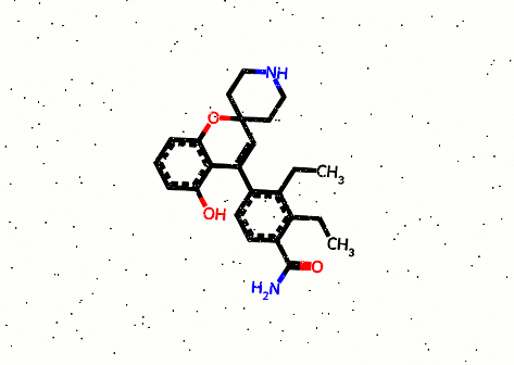 CCc1c(C(N)=O)ccc(C2=CC3(CCNCC3)Oc3cccc(O)c32)c1CC